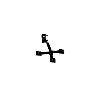 CC[N+](CC)(CC)C(C)C.[Cl-]